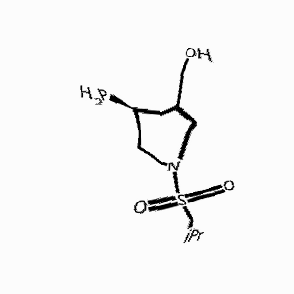 CC(C)S(=O)(=O)N1CC(O)[C@H](P)C1